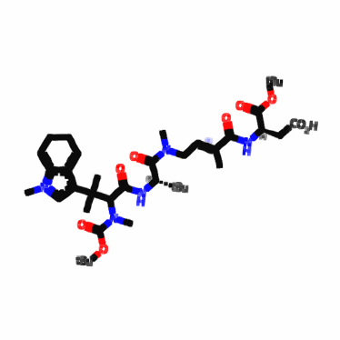 C/C(=C\CN(C)C(=O)[C@@H](NC(=O)C(N(C)C(=O)OC(C)(C)C)C(C)(C)c1cn(C)c2c1=CCCC=2)C(C)(C)C)C(=O)N[C@H](CC(=O)O)C(=O)OC(C)(C)C